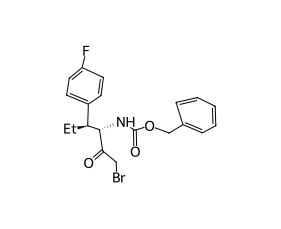 CC[C@@H](c1ccc(F)cc1)[C@H](NC(=O)OCc1ccccc1)C(=O)CBr